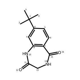 CC(C)(C)c1ccc2c(c1)NC(=O)CNC2=O